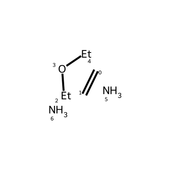 C=C.CCOCC.N.N